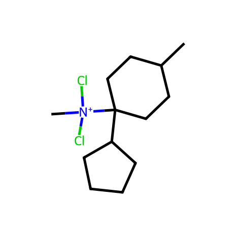 CC1CCC(C2CCCC2)([N+](C)(Cl)Cl)CC1